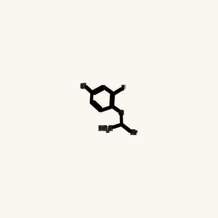 CC(C)C(Oc1ccc(Cl)cc1F)C(=O)O